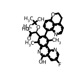 Cc1c([C@H](OC(C)(C)C)C(=O)O)c(-c2ccc3c4c(ccnc24)CCO3)c(C)c2c1nc(O)c1cc(F)cnc12